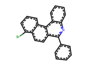 Brc1cccc2c1ccc1c(-c3ccccc3)nc3ccccc3c12